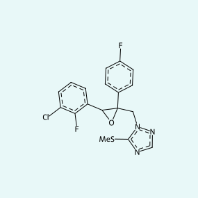 CSc1ncnn1CC1(c2ccc(F)cc2)OC1c1cccc(Cl)c1F